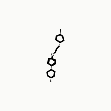 C[C@H]1CC[C@H](CCCOc2ccc([C@H]3CC[C@H](C)CC3)cc2)CC1